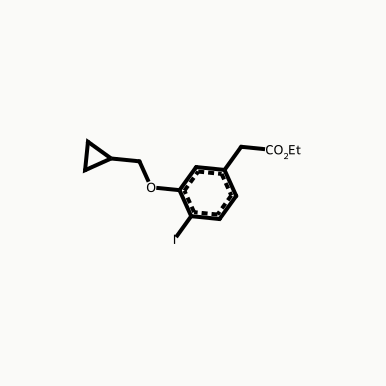 CCOC(=O)Cc1ccc(I)c(OCC2CC2)c1